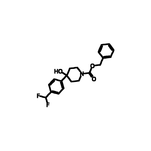 O=C(OCc1ccccc1)N1CCC(O)(c2ccc(C(F)F)cc2)CC1